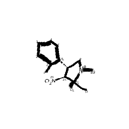 Cc1ccccc1[C@@H]1CN(C)C(C)(C)[C@H]1[N+](=O)[O-]